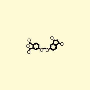 O=C1CC(=O)c2cc(OCOc3ccc4c(c3)C(=O)OC4=O)ccc21